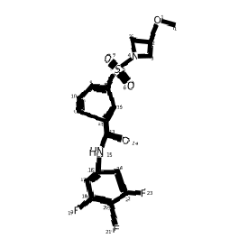 COC1CN(S(=O)(=O)c2cccc(C(=O)Nc3cc(F)c(F)c(F)c3)c2)C1